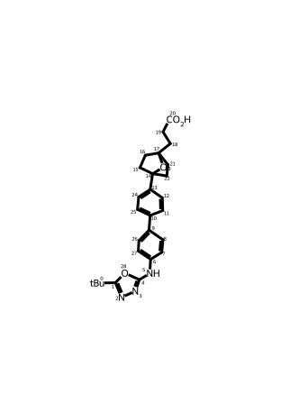 CC(C)(C)c1nnc(Nc2ccc(-c3ccc(C45CCC(CCC(=O)O)(CC4)O5)cc3)cc2)o1